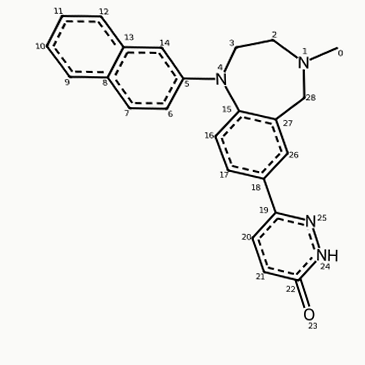 CN1CCN(c2ccc3ccccc3c2)c2ccc(-c3ccc(=O)[nH]n3)cc2C1